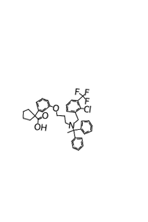 CC(c1ccccc1)(c1ccccc1)N(CCCOc1cccc(C2(C(=O)O)CCCC2)c1)Cc1cccc(C(F)(F)F)c1Cl